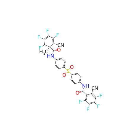 CC1(C(=O)Nc2ccc(S(=O)(=O)c3ccc(NC(=O)c4c(F)c(F)c(F)c(F)c4C#N)cc3)cc2)C(C#N)=C(F)C(F)=C(F)C1F